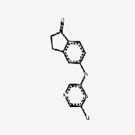 O=C1CCc2cc(Oc3cncc(Cl)n3)ccc21